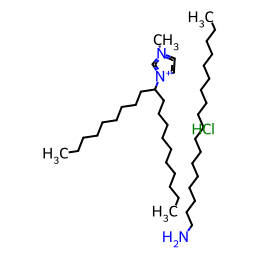 CCCCCCCCCCC(CCCCCCCCC)[n+]1ccn(C)c1.CCCCCCCCCCCCCCCCCCN.Cl